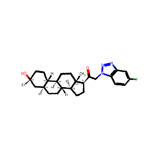 CC[C@@]1(O)CC[C@H]2[C@@H](CC[C@@H]3[C@@H]2CC[C@]2(C)[C@@H](C(=O)Cn4nnc5cc(F)ccc54)CC[C@@H]32)C1